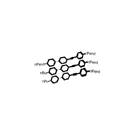 CCCCCc1ccc(C#CC2CCC([C@H]3CC[C@H](CCC)CC3)CC2)cc1.CCCCCc1ccc(C#CC2CCC([C@H]3CC[C@H](CCCC)CC3)CC2)cc1.CCCCCc1ccc(C#CC2CCC([C@H]3CC[C@H](CCCCC)CC3)CC2)cc1